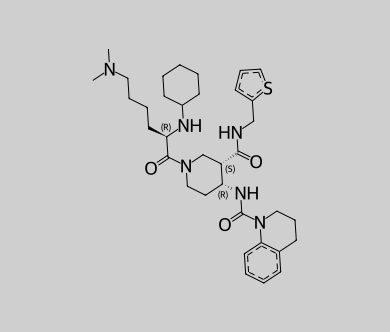 CN(C)CCCC[C@@H](NC1CCCCC1)C(=O)N1CC[C@@H](NC(=O)N2CCCc3ccccc32)[C@@H](C(=O)NCc2cccs2)C1